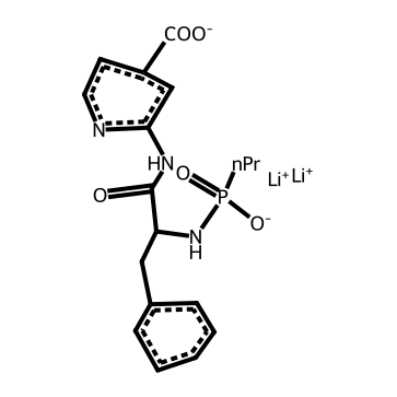 CCCP(=O)([O-])NC(Cc1ccccc1)C(=O)Nc1cc(C(=O)[O-])ccn1.[Li+].[Li+]